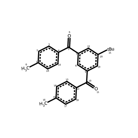 Cc1ccc(C(=O)c2cc(C(=O)c3ccc(C)cc3)cc(C(C)(C)C)c2)cc1